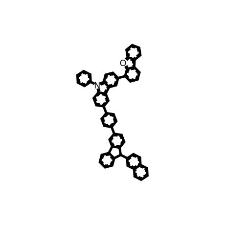 c1ccc(-n2c3ccc(-c4ccc(-c5ccc6c(c5)-c5ccccc5C6c5ccc6ccccc6c5)cc4)cc3c3cc(-c4cccc5c4oc4ccccc45)ccc32)cc1